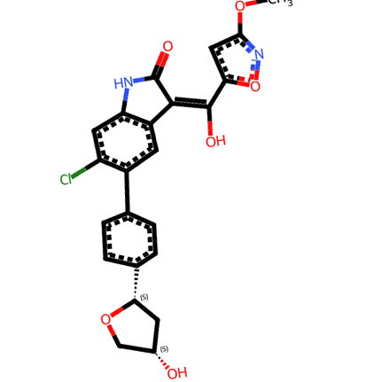 COc1cc(C(O)=C2C(=O)Nc3cc(Cl)c(-c4ccc([C@@H]5C[C@H](O)CO5)cc4)cc32)on1